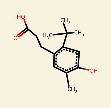 Cc1cc(CCC(=O)O)c(C(C)(C)C)cc1O